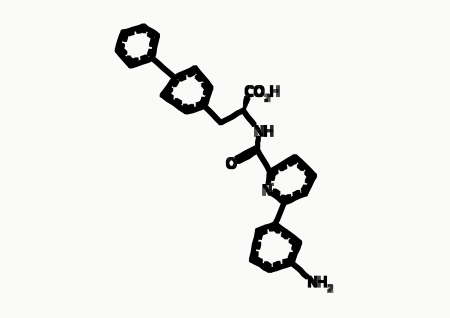 Nc1cccc(-c2cccc(C(=O)N[C@@H](Cc3ccc(-c4ccccc4)cc3)C(=O)O)n2)c1